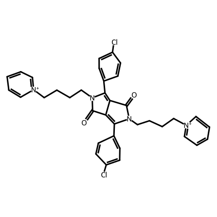 O=C1C2=C(c3ccc(Cl)cc3)N(CCCC[n+]3ccccc3)C(=O)C2=C(c2ccc(Cl)cc2)N1CCCC[n+]1ccccc1